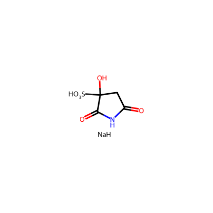 O=C1CC(O)(S(=O)(=O)O)C(=O)N1.[NaH]